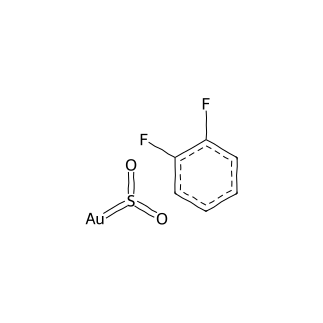 Fc1ccccc1F.O=[S](=O)=[Au]